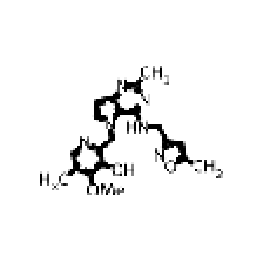 COc1c(C)cnc(Cn2ccc3nc(C)nc(NCc4cc(C)on4)c32)c1O